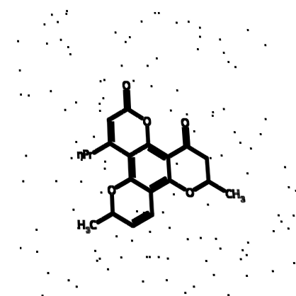 CCCc1cc(=O)oc2c3c(c4c(c12)OC(C)C=C4)OC(C)CC3=O